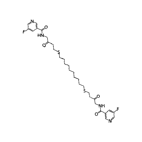 O=C(CCSCCCCCCCCCCSCCC(=O)CNC(=O)c1cncc(F)c1)CNC(=O)c1cncc(F)c1